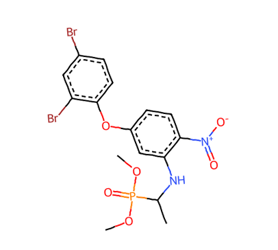 COP(=O)(OC)C(C)Nc1cc(Oc2ccc(Br)cc2Br)ccc1[N+](=O)[O-]